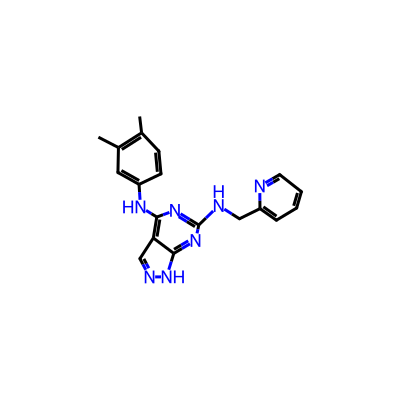 Cc1ccc(Nc2nc(NCc3ccccn3)nc3[nH]ncc23)cc1C